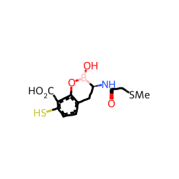 CSCC(=O)N[C@H]1Cc2ccc(S)c(C(=O)O)c2OB1O